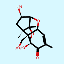 COC1(C)C2OC3C=C(C)C(=O)[C@@H](O)[C@]3(CO)[C@@]1(C)C[C@H]2O